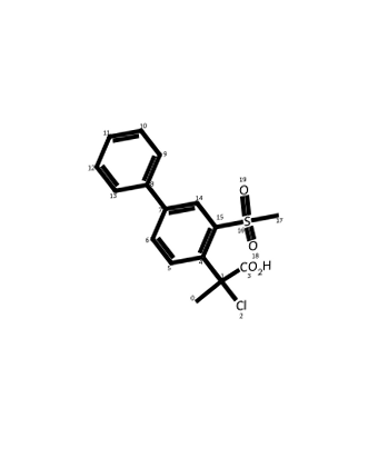 CC(Cl)(C(=O)O)c1ccc(-c2ccccc2)cc1S(C)(=O)=O